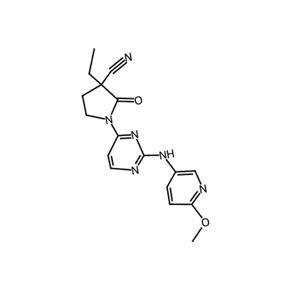 CCC1(C#N)CCN(c2ccnc(Nc3ccc(OC)nc3)n2)C1=O